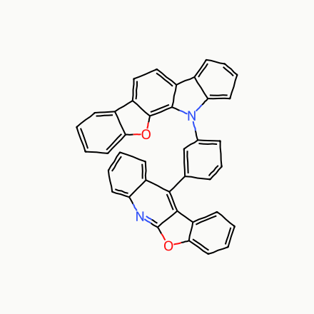 c1cc(-c2c3ccccc3nc3oc4ccccc4c23)cc(-n2c3ccccc3c3ccc4c5ccccc5oc4c32)c1